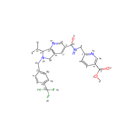 COC(=O)c1ccc(CNC(=O)c2cnc3c(c2)CN(Cc2ccc(C(F)(F)F)cc2)C3C(C)C)nc1